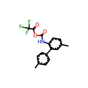 Cc1ccc(-c2cc(C)ccc2NC(=O)OC(=O)C(F)(F)F)cc1